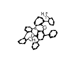 Cc1ccccc1-c1cccc2c1Oc1c(-c3ccccc3)cc(-c3ccccc3)c3c1B2c1cccc(-c2ccccc2C)c1O3